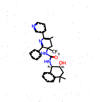 CC1=C(c2cccnc2)N=C(c2ccccc2)C(NC(=O)N[C@@H]2c3ccccc3C(C)(C)C[C@H]2O)(C(F)(F)F)C1